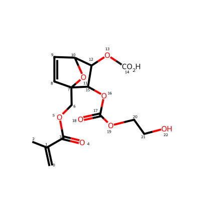 C=C(C)C(=O)OCC12C=CC(O1)C(OC(=O)O)C2OC(=O)OCCO